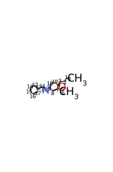 CCCCC1(OC)C=CC(N=Cc2ccccc2)=CC1